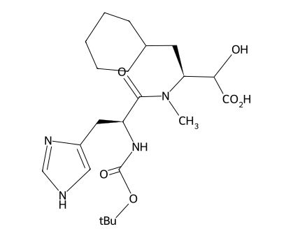 CN(C(=O)[C@H](Cc1c[nH]cn1)NC(=O)OC(C)(C)C)[C@@H](CC1CCCCC1)C(O)C(=O)O